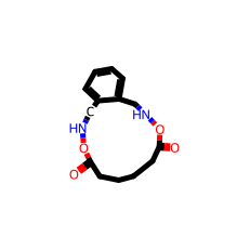 O=C1CCCCC(=O)ONCc2ccccc2CNO1